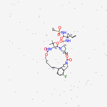 C=C[C@@H]1C[C@]1(NC(=O)[C@@H]1C[C@@H]2CN1C(=O)[C@H](C(C)(C)C)NC(=O)OCCC/C=C/c1ccc(F)c3c1CN(C3)C(=O)O2)C(=O)NS(=O)(=O)C1CC1